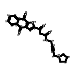 O=C(CC(=O)c1cc2c(o1)C(=O)c1ccccc1C2=O)OCC#CCN1CCCC1